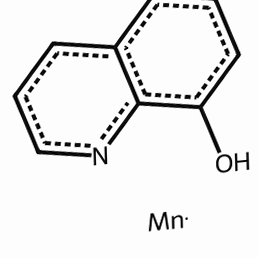 Oc1cccc2cccnc12.[Mn]